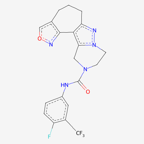 O=C(Nc1ccc(F)c(C(F)(F)F)c1)N1CCn2nc3c(c2C1)-c1nocc1CCC3